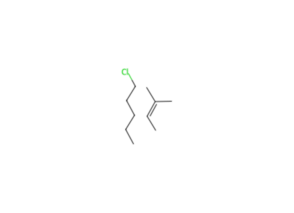 CC=C(C)C.CCCCCCl